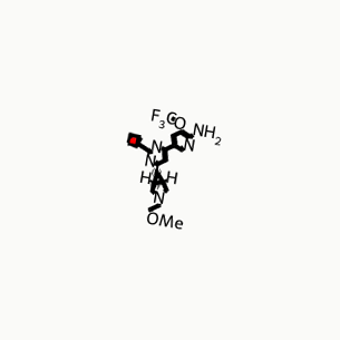 COCCN1C[C@@H]2[C@H](C1)[C@H]2c1cc(-c2cnc(N)c(OC(F)(F)F)c2)nc(N2CC3CC2C3)n1